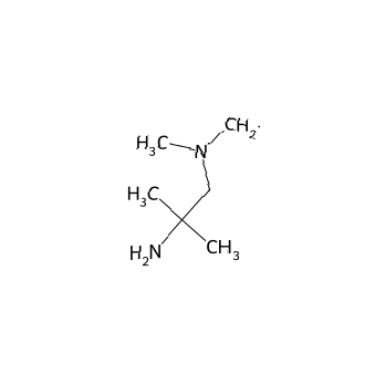 [CH2]N(C)CC(C)(C)N